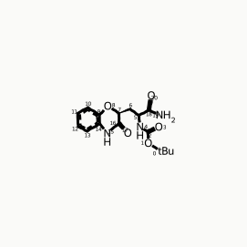 CC(C)(C)OC(=O)NC(C[C@@H]1Oc2ccccc2NC1=O)C(N)=O